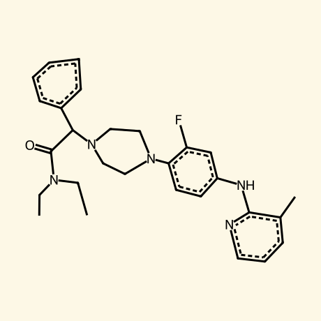 CCN(CC)C(=O)C(c1ccccc1)N1CCN(c2ccc(Nc3ncccc3C)cc2F)CC1